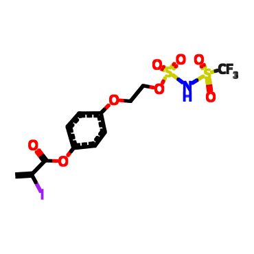 C=C(I)C(=O)Oc1ccc(OCCOS(=O)(=O)NS(=O)(=O)C(F)(F)F)cc1